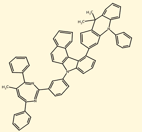 CC1=C=C(c2ccccc2)N=C(c2cccc(-n3c4cccc(-c5ccc6c(c5)N(c5ccccc5)c5ccccc5C6(C)C)c4c4c5ccccc5ccc43)c2)N=C1c1ccccc1